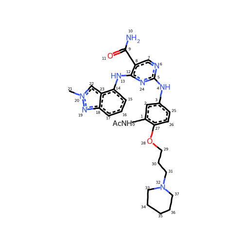 CC(=O)Nc1cc(Nc2ncc(C(N)=O)c(Nc3cccc4nn(C)cc34)n2)ccc1OCCCN1CCCCC1